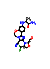 CC(Nc1ccc2c(c1)OCCn1c-2nc(N2C(=C=O)OC[C@H]2C(F)F)c1C#N)C(N)=O